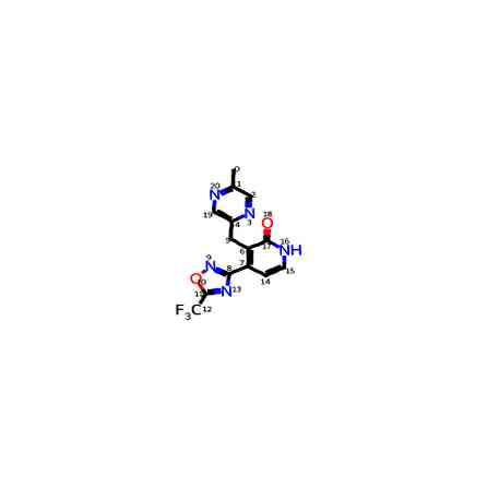 Cc1cnc(Cc2c(-c3noc(C(F)(F)F)n3)cc[nH]c2=O)cn1